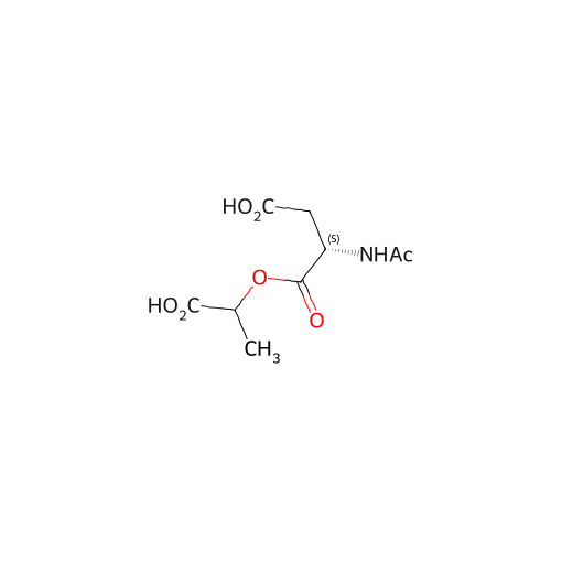 CC(=O)N[C@@H](CC(=O)O)C(=O)OC(C)C(=O)O